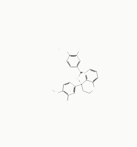 CCc1cc(C(=O)N[C@]2(c3ccc(OC(F)(F)F)c(F)c3)CCOc3cccnc32)ccc1C(=O)O